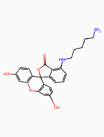 NCCCCCNc1cccc2c1C(=O)OC21c2ccc(O)cc2Oc2cc(O)ccc21